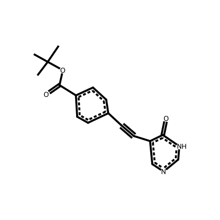 CC(C)(C)OC(=O)c1ccc(C#Cc2cnc[nH]c2=O)cc1